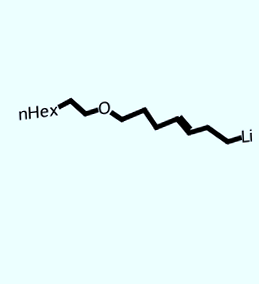 [Li][CH2]CC=CCCCOCCCCCCCC